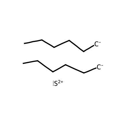 [CH2-]CCCCC.[CH2-]CCCCC.[S+2]